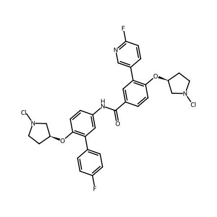 O=C(Nc1ccc(O[C@H]2CCN(Cl)C2)c(-c2ccc(F)cc2)c1)c1ccc(O[C@H]2CCN(Cl)C2)c(-c2ccc(F)nc2)c1